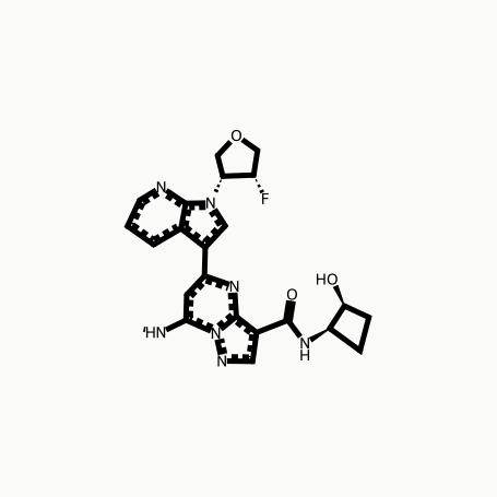 CNc1cc(-c2cn([C@@H]3COC[C@@H]3F)c3ncccc23)nc2c(C(=O)N[C@@H]3CC[C@@H]3O)cnn12